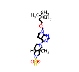 C[C@@]12CN(c3ncnc4c3ccn4COCC[Si](C)(C)C)CC[C@@H]1CN([SH](=O)=O)C2